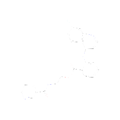 O=C(NCCOC(=O)c1ccccc1Nc1ccnc2cc(F)ccc12)c1cccnc1